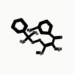 Cc1cccc(C(=O)C(C(=O)O)=C(OOC(C)(C)c2ccccc2)C(=O)O)c1